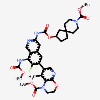 Cc1c(-c2cc3cc(NC(=O)OC4CCC5(CCN(C(=O)OC(C)(C)C)CC5)C4)ncc3c(NC(=O)OC(C)(C)C)c2F)cnc2c1N(C(=O)OC(C)(C)C)CCO2